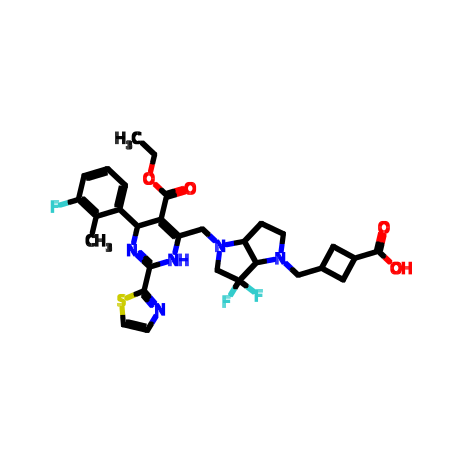 CCOC(=O)C1=C(CN2CC(F)(F)C3C2CCN3CC2CC(C(=O)O)C2)NC(c2nccs2)=NC1c1cccc(F)c1C